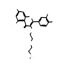 CNCCOCCOc1c(-c2ccc(O)c(O)c2)oc2cc(O)cc(O)c2c1=O